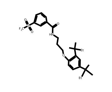 CCC(C)(C)c1ccc(OCCCNC(=O)c2cccc(S(=O)(=O)C(F)(F)F)c2)c(C(C)(C)CC)c1